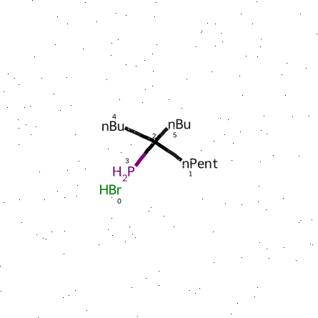 Br.CCCCCC(P)(CCCC)CCCC